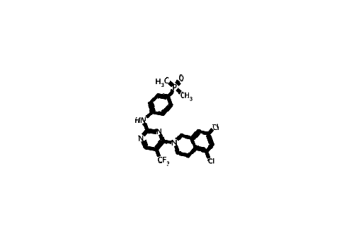 CP(C)(=O)c1ccc(Nc2ncc(C(F)(F)F)c(N3CCc4c(Cl)cc(Cl)cc4C3)n2)cc1